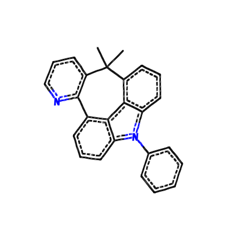 CC1(C)c2cccnc2-c2cccc3c2c2c1cccc2n3-c1ccccc1